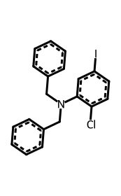 Clc1ccc(I)cc1N(Cc1ccccc1)Cc1ccccc1